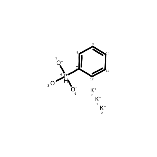 [K+].[K+].[K+].[O-][PH]([O-])([O-])c1ccccc1